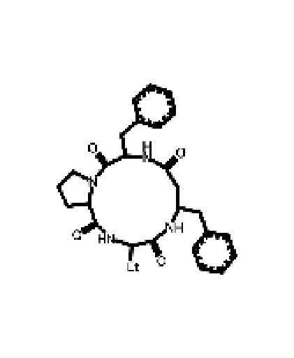 CCC1NC(=O)C2CCCN2C(=O)C(Cc2ccccc2)NC(=O)CC(Cc2ccccc2)NC1=O